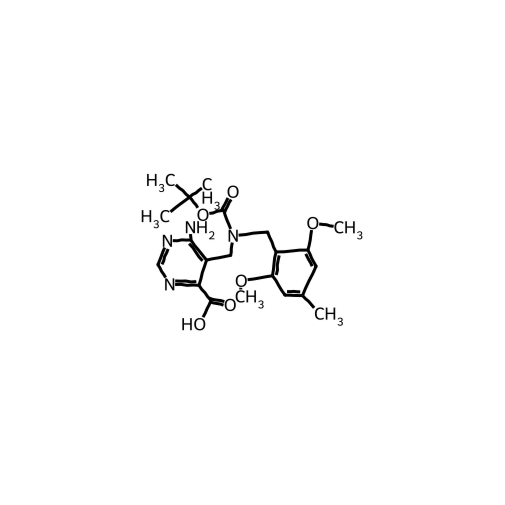 COc1cc(C)cc(OC)c1CN(Cc1c(N)ncnc1C(=O)O)C(=O)OC(C)(C)C